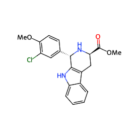 COC(=O)[C@H]1Cc2c([nH]c3ccccc23)[C@H](c2ccc(OC)c(Cl)c2)N1